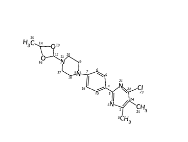 Cc1nc(-c2ccc(N3CCN(C4OC(C)O4)CC3)cc2)nc(Cl)c1C